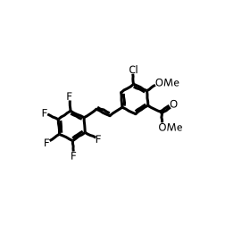 COC(=O)c1cc(C=Cc2c(F)c(F)c(F)c(F)c2F)cc(Cl)c1OC